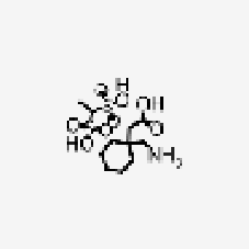 CC(S(=O)(=O)O)S(=O)(=O)O.NCC1(CC(=O)O)CCCCC1